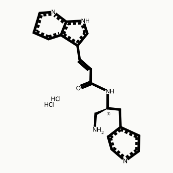 Cl.Cl.NC[C@H](Cc1ccncc1)NC(=O)C=Cc1c[nH]c2ncccc12